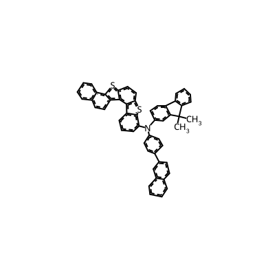 CC1(C)c2ccccc2-c2ccc(N(c3ccc(-c4ccc5ccccc5c4)cc3)c3cccc4c3sc3ccc5sc6c7ccccc7ccc6c5c34)cc21